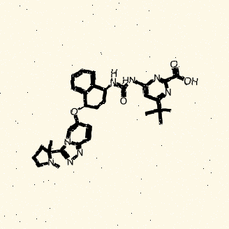 CN1CCCC1(C)c1nnc2ccc(O[C@@H]3CC[C@H](NC(=O)Nc4cc(C(C)(C)C)nc(C(=O)O)n4)c4ccccc43)cn12